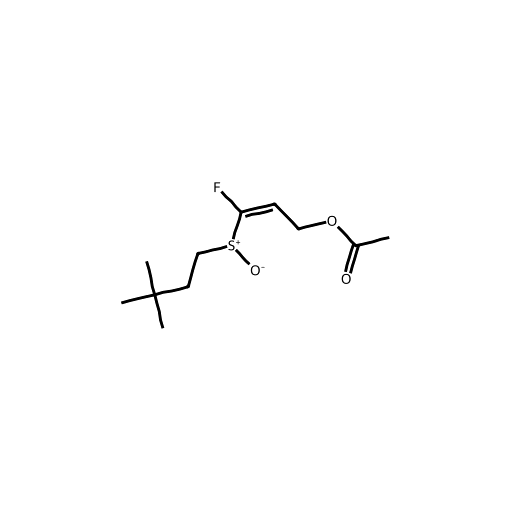 CC(=O)OCC=C(F)[S+]([O-])CCC(C)(C)C